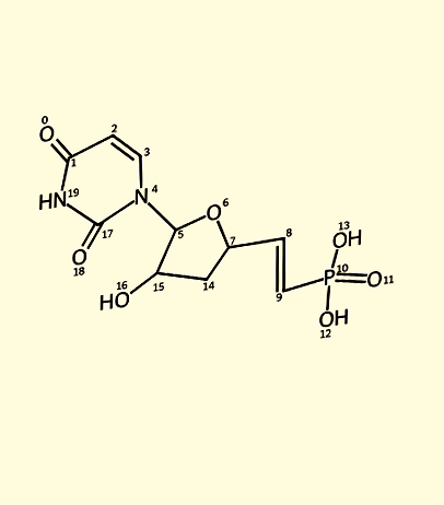 O=c1ccn(C2OC(C=CP(=O)(O)O)CC2O)c(=O)[nH]1